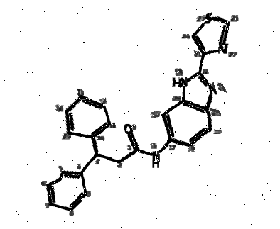 O=C(CC(c1ccccc1)c1ccccc1)Nc1ccc2nc(-c3cscn3)[nH]c2c1